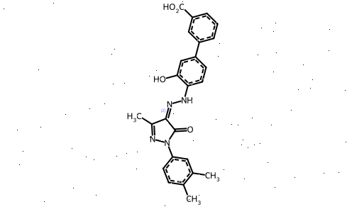 CC1=NN(c2ccc(C)c(C)c2)C(=O)/C1=N\Nc1ccc(-c2cccc(C(=O)O)c2)cc1O